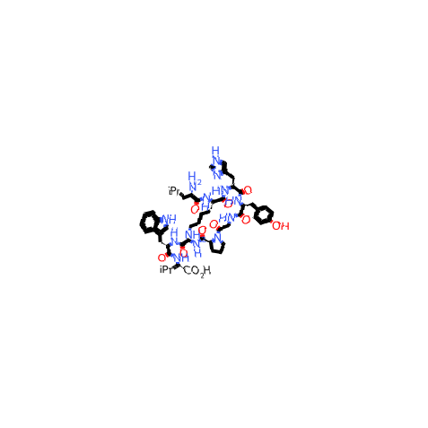 CC(C)C[C@H](N)C(=O)N[C@@H](CCCCN)C(=O)N[C@@H](Cc1c[nH]cn1)C(=O)N[C@@H](Cc1ccc(O)cc1)C(=O)NCC(=O)N1CCC[C@H]1C(=O)NCC(=O)N[C@@H](Cc1c[nH]c2ccccc12)C(=O)N[C@H](C(=O)O)C(C)C